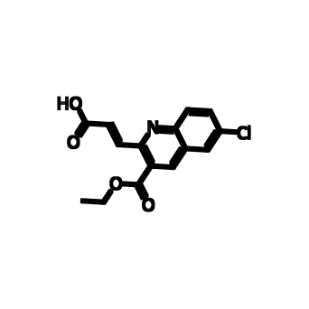 CCOC(=O)c1cc2cc(Cl)ccc2nc1C=CC(=O)O